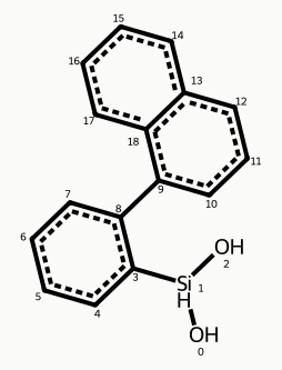 O[SiH](O)c1ccccc1-c1cccc2ccccc12